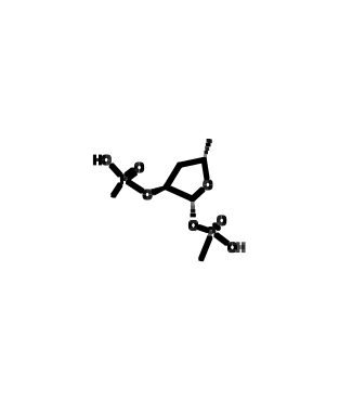 C[C@H]1C[C@H](OP(C)(=O)O)[C@@H](OP(C)(=O)O)O1